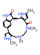 CCN1CCN(C)C(=O)c2cc(C)[nH]c2/C=C2\C(=O)Nc3ccc(cc32)-c2cnn(C)c2C1